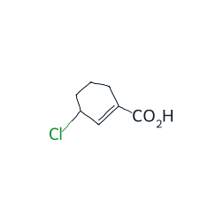 O=C(O)C1=CC(Cl)CCC1